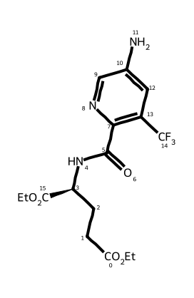 CCOC(=O)CC[C@H](NC(=O)c1ncc(N)cc1C(F)(F)F)C(=O)OCC